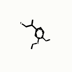 CCOc1cc([C](C)CF)ccc1CC